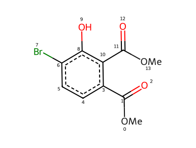 COC(=O)c1ccc(Br)c(O)c1C(=O)OC